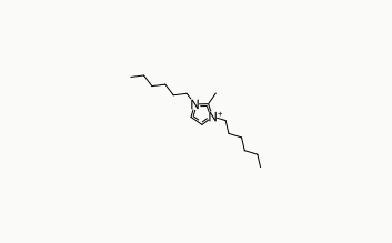 CCCCCCn1cc[n+](CCCCCC)c1C